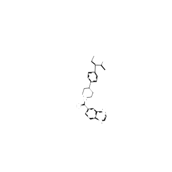 C=C(C)/C(=C\C)c1ccc(C2CCN(C(=O)c3ccc4nccnc4c3)CC2)cc1